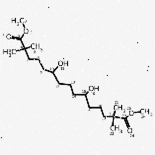 COC(=O)C(C)(C)CCCC(O)CCCC(O)CCCC(C)(C)C(=O)OC